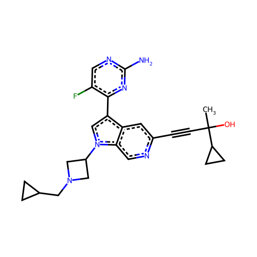 CC(O)(C#Cc1cc2c(-c3nc(N)ncc3F)cn(C3CN(CC4CC4)C3)c2cn1)C1CC1